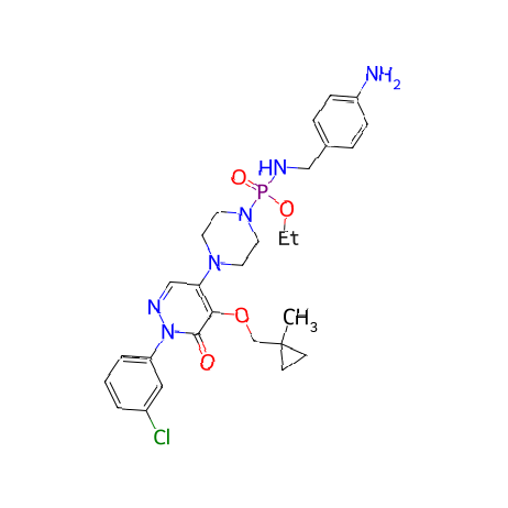 CCOP(=O)(NCc1ccc(N)cc1)N1CCN(c2cnn(-c3cccc(Cl)c3)c(=O)c2OCC2(C)CC2)CC1